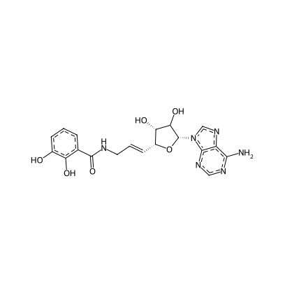 Nc1ncnc2c1ncn2[C@@H]1O[C@H](/C=C/CNC(=O)c2cccc(O)c2O)[C@H](O)C1O